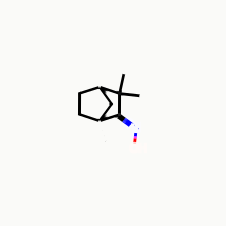 CC1(C)C(=NO)[C@@]2(C)CCC1C2